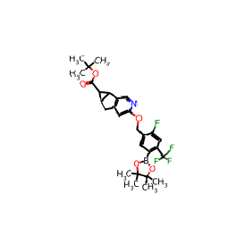 CC(C)(C)OC(=O)C1C2Cc3cc(OCc4cc(B5OC(C)(C)C(C)(C)O5)c(C(F)(F)F)cc4F)ncc3C21